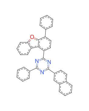 c1ccc(-c2nc(-c3ccc4ccccc4c3)nc(-c3ccc(-c4ccccc4)c4oc5ccccc5c34)n2)cc1